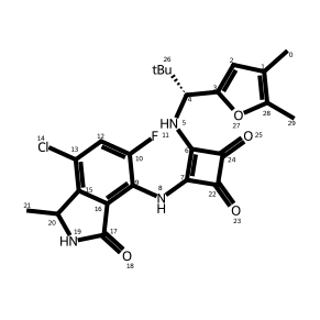 Cc1cc([C@H](Nc2c(Nc3c(F)cc(Cl)c4c3C(=O)NC4C)c(=O)c2=O)C(C)(C)C)oc1C